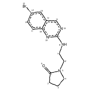 O=C1CCCN1CCNc1ncc2cc(Br)ccc2n1